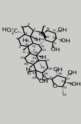 C=C(C)[C@@H]1CC[C@]2(C(=O)O)CC[C@]3(C)[C@H](C([C@@H]4OC[C@H](O)[C@H](O)[C@H]4O)C[C@@H]4[C@@]5(C)CCC(O[C@@H]6O[C@@H](C)[C@H](O)[C@@H](O)[C@H]6O)C(C)(CO)[C@@H]5CC[C@]43C)[C@@H]12